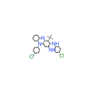 CC(C)(C)c1c2nc3ccccc3n(-c3ccc(Cl)cc3)c-2cc(=N)c1Nc1ccc(Cl)cc1